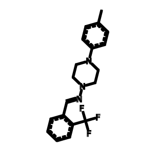 Cc1ccc(N2CCN(N=Cc3ccccc3C(F)(F)F)CC2)cc1